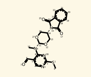 CSc1ncc(C=O)c(N(C)[C@H]2OC[C@@H](N3C(=O)c4ccccc4C3=O)CO2)n1